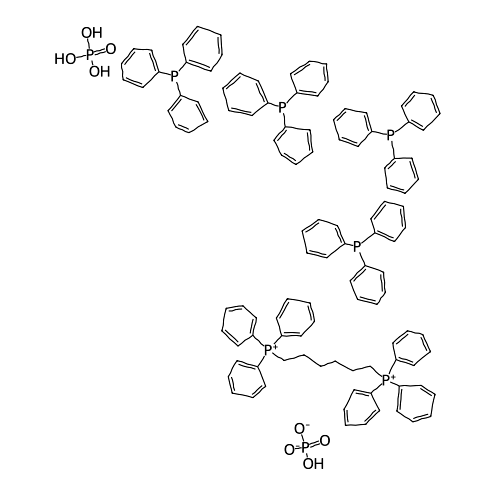 O=P(O)(O)O.O=P([O-])([O-])O.c1ccc(P(c2ccccc2)c2ccccc2)cc1.c1ccc(P(c2ccccc2)c2ccccc2)cc1.c1ccc(P(c2ccccc2)c2ccccc2)cc1.c1ccc(P(c2ccccc2)c2ccccc2)cc1.c1ccc([P+](CCCCCC[P+](c2ccccc2)(c2ccccc2)c2ccccc2)(c2ccccc2)c2ccccc2)cc1